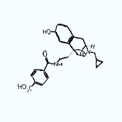 C[C@H]1[C@H]2Cc3ccc(O)cc3[C@]1(CCNC(=O)c1ccc(C(=O)O)cc1)CCN2CC1CC1